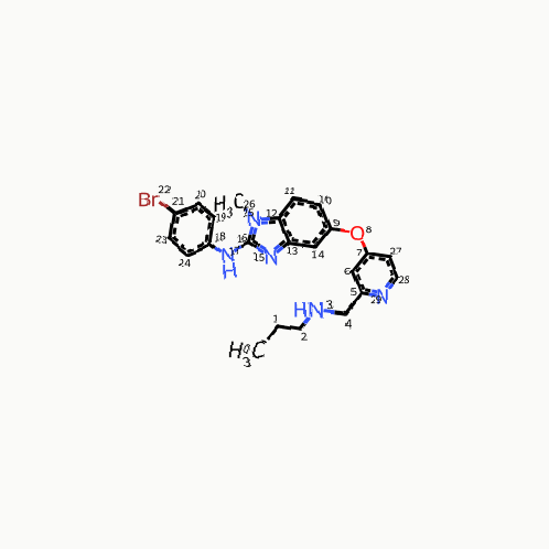 CCCNCc1cc(Oc2ccc3c(c2)nc(Nc2ccc(Br)cc2)n3C)ccn1